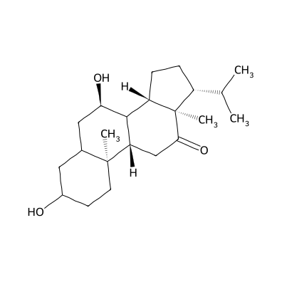 CC(C)[C@H]1CC[C@H]2C3[C@H](O)CC4CC(O)CC[C@]4(C)[C@H]3CC(=O)[C@]12C